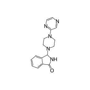 O=C1NC(N2CCN(c3cnccn3)CC2)c2ccccc21